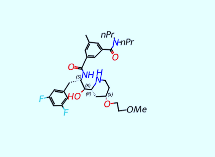 CCCN(CCC)C(=O)c1cc(C)cc(C(=O)N[C@@H](Cc2cc(F)cc(F)c2)[C@H](O)[C@H]2C[C@@H](OCCOC)CCN2)c1